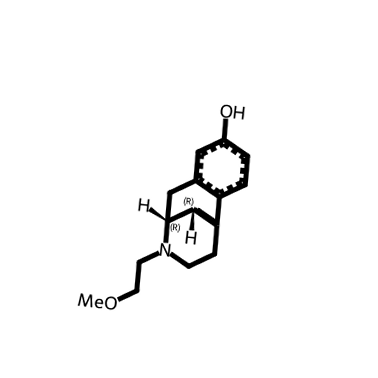 COCCN1CCC23CCCC[C@H]2[C@H]1Cc1cc(O)ccc13